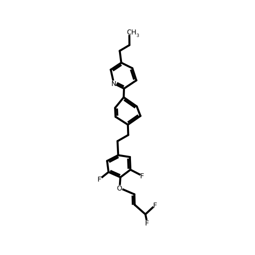 CCCc1ccc(-c2ccc(CCc3cc(F)c(O/C=C/C(F)F)c(F)c3)cc2)nc1